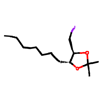 CCCCCCC[C@H]1OC(C)(C)O[C@@H]1CI